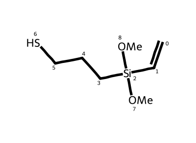 C=C[Si](CCCS)(OC)OC